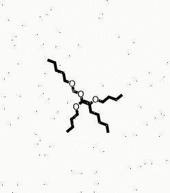 CCCCCOCOC(OCCCC)=C(CCCCC)OCCCC